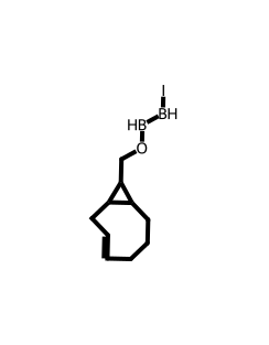 IBBOCC1C2C/C=C/CCCC21